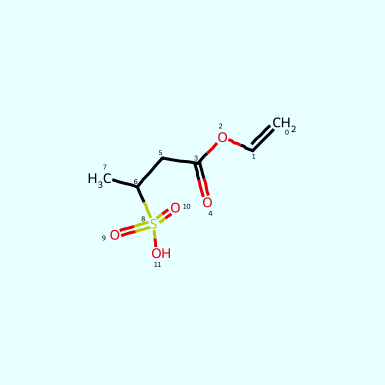 C=COC(=O)CC(C)S(=O)(=O)O